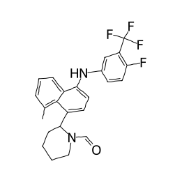 Cc1cccc2c(Nc3ccc(F)c(C(F)(F)F)c3)ccc(C3CCCCN3C=O)c12